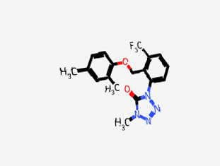 Cc1ccc(OCc2c(-n3nnn(C)c3=O)cccc2C(F)(F)F)c(C)c1